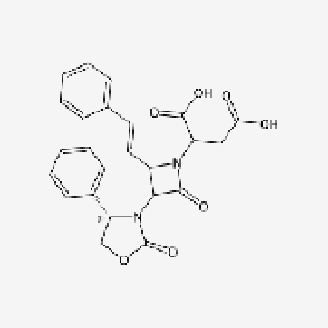 O=C(O)CC(C(=O)O)N1C(=O)C(N2C(=O)OC[C@@H]2c2ccccc2)C1C=Cc1ccccc1